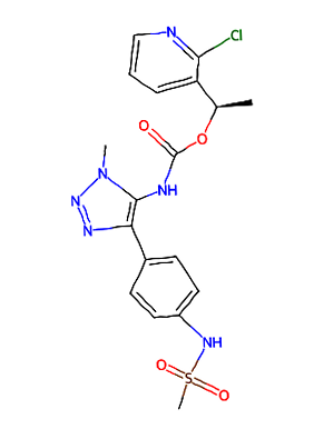 C[C@@H](OC(=O)Nc1c(-c2ccc(NS(C)(=O)=O)cc2)nnn1C)c1cccnc1Cl